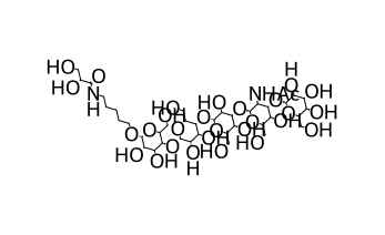 CC(=O)N[C@H]1C(O[C@@H]2OC(CO)[C@H](O)C(O)[C@@H]2O)[C@@H](O)C(CO)O[C@H]1O[C@@H]1C(O)[C@@H](O[C@H]2C(CO)O[C@@H](O[C@@H]3C(CO)O[C@@H](OCCCCCNC(=O)[C@H](O)CO)C(O)C3O)[C@@H](O)C2O)OC(CO)[C@@H]1O